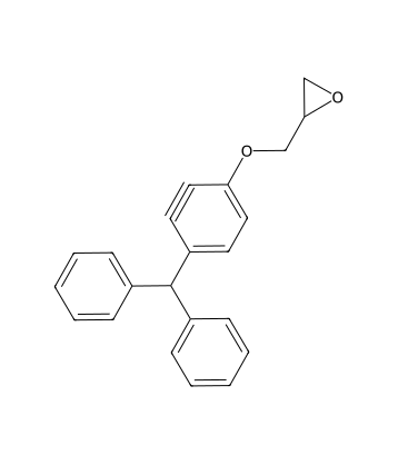 c1c(OCC2CO2)ccc(C(c2ccccc2)c2ccccc2)c#1